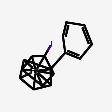 I[C]12[CH]3[CH]4[CH]5[CH]1[Fe]45321678[CH]2[CH]1[CH]6[C]7(c1ccccc1)[CH]28